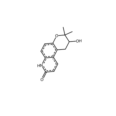 CC1(C)Oc2ccc3[nH]c(=O)ccc3c2CC1O